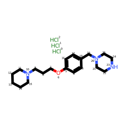 Cl.Cl.Cl.c1cc(OCCCN2CCCCC2)ccc1CN1CCNCC1